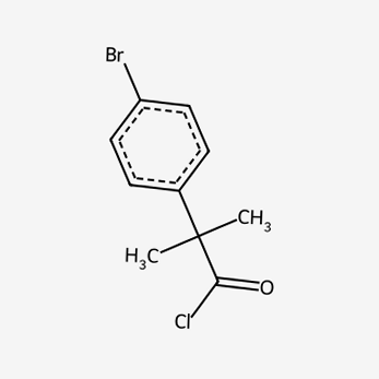 CC(C)(C(=O)Cl)c1ccc(Br)cc1